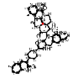 Cc1cc(CC(NC(=O)N2CCC(c3cc4ccccc4[nH]c3=O)CC2)C(=O)NC(CC2CCN(C(=O)OC(C)(C)C)CC2)C(=O)N2CCN(c3ccncc3)CC2)cc2cn[nH]c12